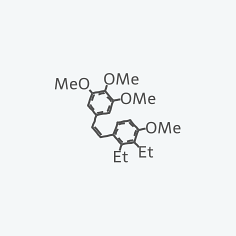 CCc1c(/C=C\c2cc(OC)c(OC)c(OC)c2)ccc(OC)c1CC